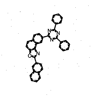 c1ccc(-c2nc(-c3ccccc3)nc(-c3ccc4ccc5oc(-c6ccc7ccccc7c6)nc5c4c3)n2)cc1